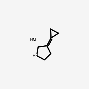 C1CC(=C2CC2)CN1.Cl